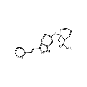 CCC1(Sc2ccc3c(/C=C/c4ccccn4)n[nH]c3c2)C=CC=CC1C(N)=O